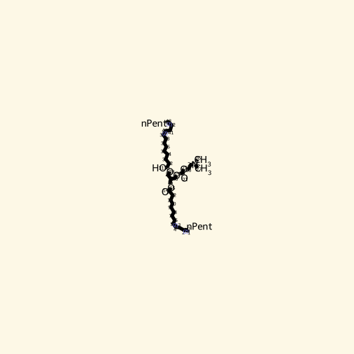 CCCCC/C=C\C/C=C\CCCCCCCC(=O)OCC(COC(=O)OCCN(C)C)COC(O)CCCCCCC/C=C\C/C=C\CCCCC